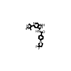 Cc1c(-c2cc3c(NC(=O)c4ccc(N5CCC(F)(F)C5)cc4)n[nH]c3cn2)cnn1C